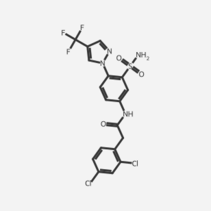 NS(=O)(=O)c1cc(NC(=O)Cc2ccc(Cl)cc2Cl)ccc1-n1cc(C(F)(F)F)cn1